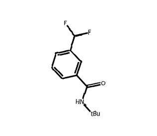 CC(C)(C)NC(=O)c1cccc(C(F)F)c1